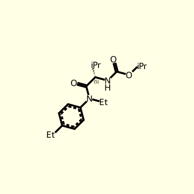 CCc1ccc(N(CC)C(=O)[C@@H](NC(=O)OC(C)C)C(C)C)cc1